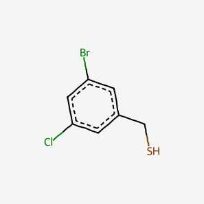 SCc1cc(Cl)cc(Br)c1